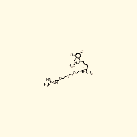 C=C(/C=C\C=C\C1CN(C)Cc2c(Cl)cc(Cl)cc21)SNCCOCCOCCOCCNC(=N)N